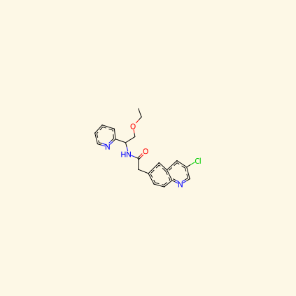 CCOCC(NC(=O)Cc1ccc2ncc(Cl)cc2c1)c1ccccn1